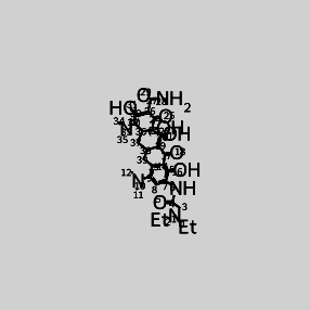 CCN(CC)CC(=O)Nc1cc(N(C)C)c2c(c1O)C(=O)C1=C(O)[C@]3(O)C(=O)C(C(N)=O)=C(O)[C@@H](N(C)C)C3CC1C2